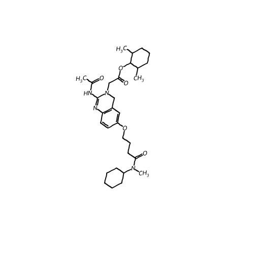 CC(=O)NC1=Nc2ccc(OCCCC(=O)N(C)C3CCCCC3)cc2CN1CC(=O)OC1C(C)CCCC1C